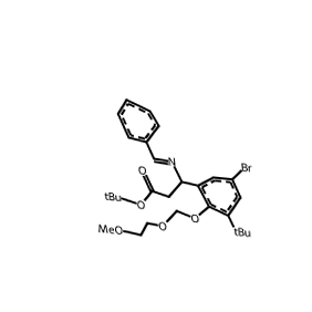 COCCOCOc1c(C(CC(=O)OC(C)(C)C)/N=C/c2ccccc2)cc(Br)cc1C(C)(C)C